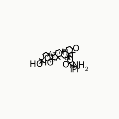 CC(C)[C@H](N)C(=O)O[C@H]1CC2[C@]3(CC[C@]4(C)[C@@H]([C@@]5(C)CCC(C(C)(C)O)O5)[C@@H](O)C[C@@]24C)C[C@@]32CCC(=O)C(C)(C)[C@H]12